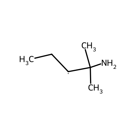 CC[CH]C(C)(C)N